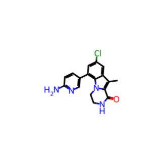 Cc1c2n(c3c(-c4ccc(N)nc4)cc(Cl)cc13)CCNC2=O